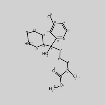 COC(=O)N(C)CCCC(O)(c1cccc(Cl)c1)C1CCCNC1